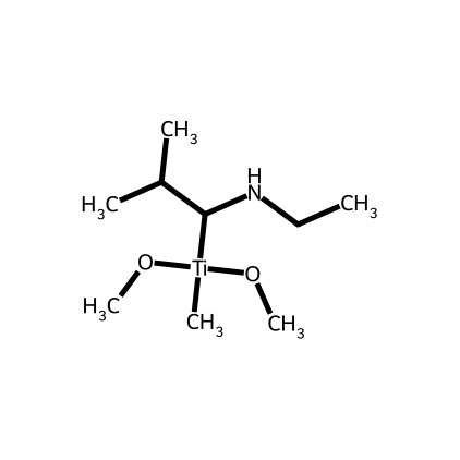 CCN[CH](C(C)C)[Ti]([CH3])([O]C)[O]C